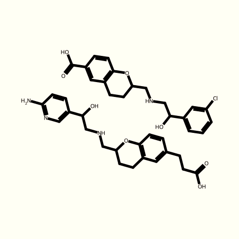 Nc1ccc(C(O)CNCC2CCc3cc(CCC(=O)O)ccc3O2)cn1.O=C(O)c1ccc2c(c1)CCC(CNCC(O)c1cccc(Cl)c1)O2